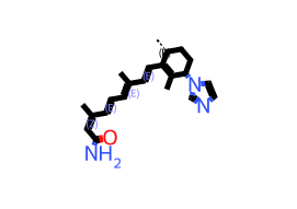 CC1=C(/C=C/C(C)=C/C=C/C(C)=C\C(N)=O)[C@H](C)CCC1n1ccnc1